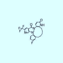 O=C1c2cc(C(F)(F)F)ncc2N2CN1c1ccc(=O)[nH]c1CCCCCc1cc(F)ccc12